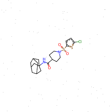 O=C(NC12CC3CC(CC(C3)C1)C2)C1CCN(S(=O)(=O)c2ccc(Cl)s2)CC1